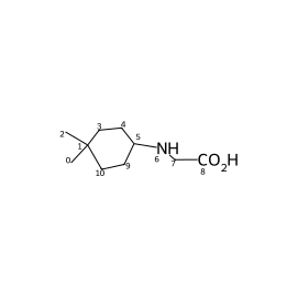 CC1(C)CCC(NCC(=O)O)CC1